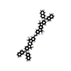 CC1(C)C2=C(CC3C(=C2)c2ccc(/C=C/c4ccc5c(c4)C(C)(C)c4cc6c(cc4-5)C(C)(C)c4cc(N(C5=CCC7C=CC=CC7=C5)c5ccc7ccccc7c5)ccc4-6)cc2C3(C)C)c2ccc(N(c3ccc4ccccc4c3)c3ccc4ccccc4c3)cc21